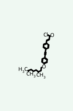 CC(C)CCCC(C)CCOc1ccc(C#Cc2ccc(/C=C/C(=O)Cl)cc2)cc1